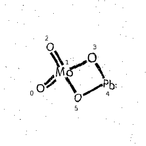 [O]=[Mo]1(=[O])[O][Pb][O]1